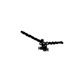 CC#CC#CC#CC#CC#CC#CC(=O)OC(COP(=O)(O)O)OC(=O)CCCCCCCCCCCC